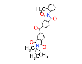 CCC(C)(CC)N1C(=O)c2ccc(C(=O)c3ccc4c(c3)C(=O)N(c3ccccc3C)C4=O)cc2C1=O